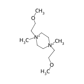 COCC[N+]1(C)CC[N+](C)(CCOC)CC1